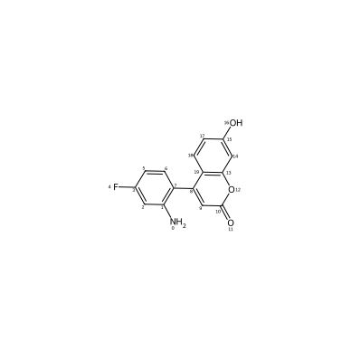 Nc1cc(F)ccc1-c1cc(=O)oc2cc(O)ccc12